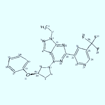 CCn1ncc2c(N3CC[C@@H](Oc4ccccc4)C3)nc(-c3cncc(C(F)(F)F)c3)nc21